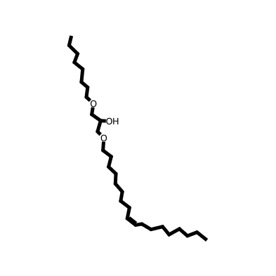 CCCCCCCC/C=C\CCCCCCCCOCC(O)COCCCCCCCC